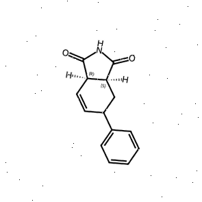 O=C1NC(=O)[C@@H]2C=CC(c3ccccc3)C[C@H]12